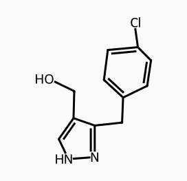 OCc1c[nH]nc1Cc1ccc(Cl)cc1